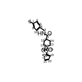 O=C(NCc1ccc(I)cc1)C1CCN(S(=O)(=O)c2cccs2)CC1